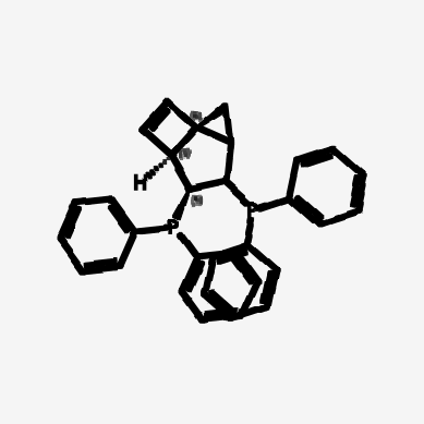 C1=C[C@]23CC2C(P(c2ccccc2)c2ccccc2)[C@@H](P(c2ccccc2)c2ccccc2)[C@@H]13